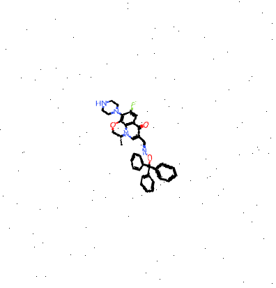 C[C@H]1COc2c(N3CCNCC3)c(F)cc3c(=O)c(/C=N/OC(c4ccccc4)(c4ccccc4)c4ccccc4)cn1c23